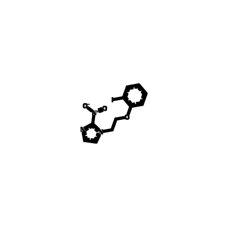 O=[N+]([O-])c1nccn1CCOc1ccccc1I